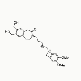 COc1cc2c(cc1OC)[C@@H](CNCCCN1CCc3cc(CO)c(CO)cc3CC1=O)C2